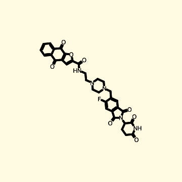 O=C1CCC(N2C(=O)c3cc(F)c(CN4CCN(CCNC(=O)c5cc6c(o5)C(=O)c5ccccc5C6=O)CC4)cc3C2=O)C(=O)N1